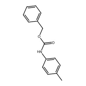 Cc1ccc(NC(=O)OCc2ccccc2)cc1